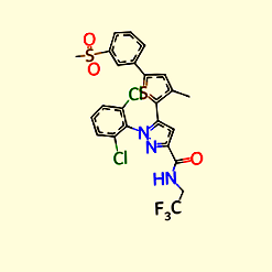 Cc1cc(-c2cccc(S(C)(=O)=O)c2)sc1-c1cc(C(=O)NCC(F)(F)F)nn1-c1c(Cl)cccc1Cl